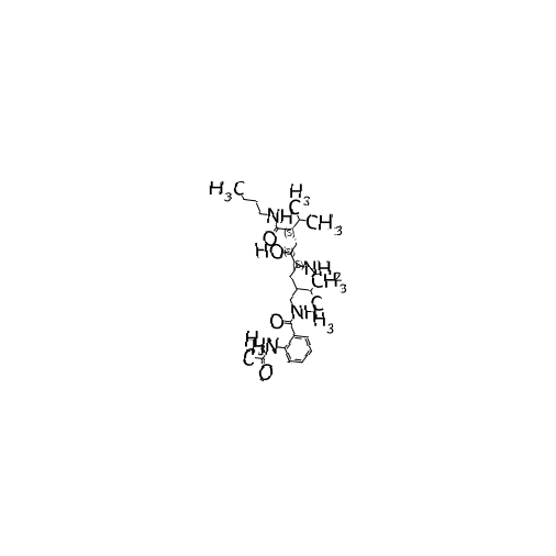 CCCCNC(=O)[C@@H](C[C@H](O)[C@@H](N)CC(CNC(=O)c1ccccc1NC(C)=O)C(C)C)C(C)C